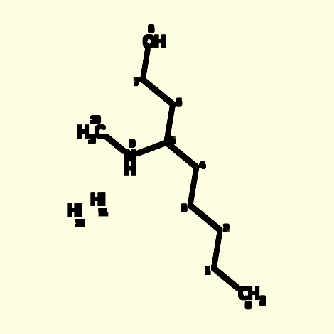 CCCCCC(CCO)NC.I.I